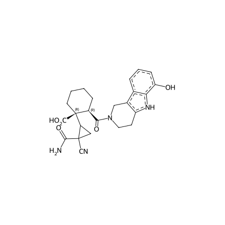 N#CC1(C(N)=O)CC1[C@]1(C(=O)O)CCCC[C@H]1C(=O)N1CCc2[nH]c3c(O)cccc3c2C1